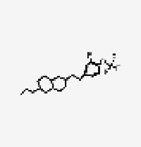 CCCC1CCC2CC(CCc3ccc(OC(F)(F)F)c(F)c3)CCC2C1